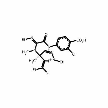 CC/N=C(/C(=O)Nc1ccc(C(=O)O)c(Cl)c1)N(C)[C@@](C)(/C=N\NCC)/C(F)=C(/F)CC